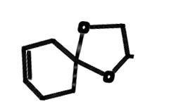 [CH]1COC2(CC=CCC2)O1